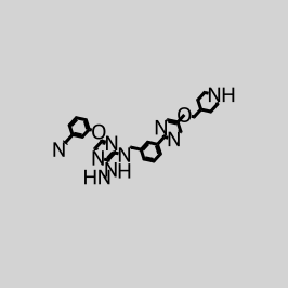 N#Cc1cccc(Oc2cnc(N=N)c(NCc3cccc(-c4ncc(OCC5CCNCC5)cn4)c3)n2)c1